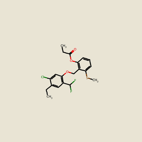 CCC(=O)Oc1cccc(SC)c1COc1cc(Cl)c(CC)cc1C(F)F